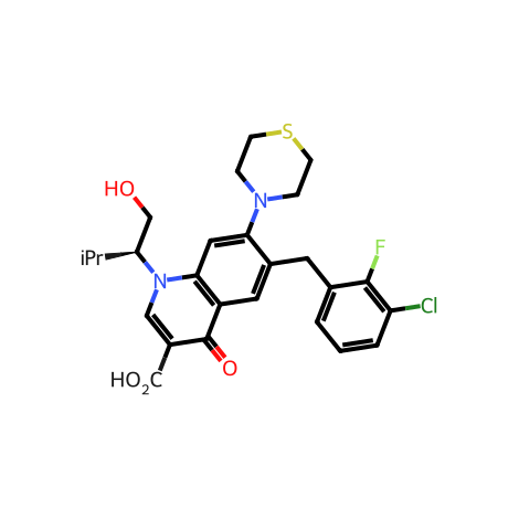 CC(C)[C@@H](CO)n1cc(C(=O)O)c(=O)c2cc(Cc3cccc(Cl)c3F)c(N3CCSCC3)cc21